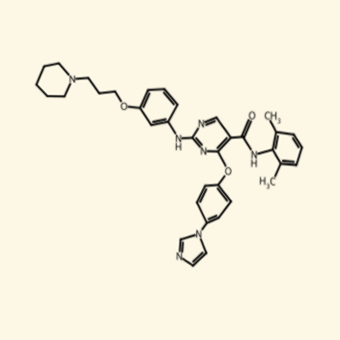 Cc1cccc(C)c1NC(=O)c1cnc(Nc2cccc(OCCCN3CCCCC3)c2)nc1Oc1ccc(-n2ccnc2)cc1